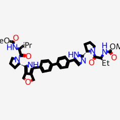 CC[C@H](NC(=O)OC)C(=O)N1CCC[C@H]1c1ncc(-c2ccc(-c3ccc(-c4[nH]c([C@@H]5CCCN5C(=O)C(NC(=O)OC)C(C)C)c5c4COC5)cc3)cc2)[nH]1